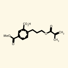 C=C(C)C(=O)OCCCc1ccc(C(=O)OC)cc1C(=O)O